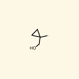 [CH2]C1(CO)CC1